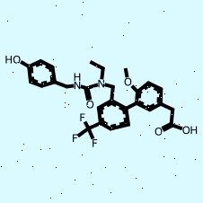 CCN(Cc1cc(C(F)(F)F)ccc1-c1cc(CC(=O)O)ccc1OC)C(=O)NCc1ccc(O)cc1